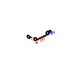 COc1cc(OCc2ccccc2)ccc1/C=C/C(=O)CC(=O)/C=C/c1ccc2cc[nH]c2c1